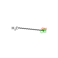 CCCCCCCCCCCCCCCCCCCCCCCCCCCC(O)C(Cl)(Cl)Cl